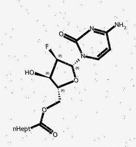 CCCCCCCC(=O)OC[C@H]1O[C@@H](n2ccc(N)nc2=O)[C@H](F)[C@@H]1O